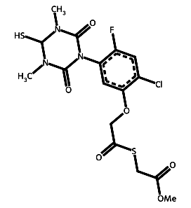 COC(=O)CSC(=O)COc1cc(N2C(=O)N(C)C(S)N(C)C2=O)c(F)cc1Cl